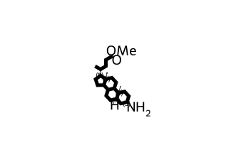 COC(=O)CCC(C)[C@H]1CCC2C3CC[C@@H]4C[C@@H](N)CC[C@]4(C)C3CC[C@@]21C